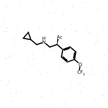 CC(=O)[C@H](CNCC1CC1)c1ccc(OC(F)(F)F)cc1